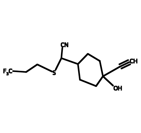 C#CC1(O)CCC(C(C#N)SCCC(F)(F)F)CC1